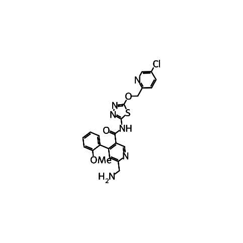 COc1ccccc1-c1cc(CN)ncc1C(=O)Nc1nnc(OCc2ccc(Cl)cn2)s1